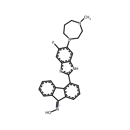 CN1CCCN(c2cc3[nH]c(-c4cccc5c4-c4ccccc4/C5=N\O)nc3cc2F)CC1